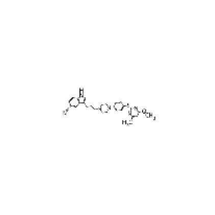 COc1cc(C)nc(Sc2ccc(N3CCN(CCCc4c[nH]c5ccc(C#N)cc45)CC3)cc2)n1